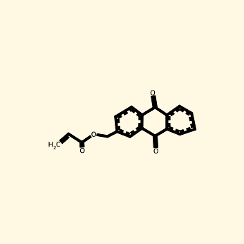 C=CC(=O)OCc1ccc2c(c1)C(=O)c1ccccc1C2=O